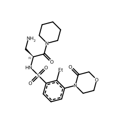 CCc1c(N2CCOCC2=O)cccc1S(=O)(=O)N[C@@H](CN)C(=O)N1CCCCC1